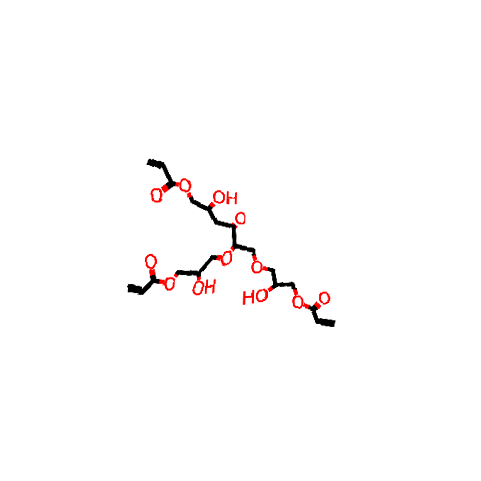 C=CC(=O)OCC(O)COCC(OCC(O)COC(=O)C=C)C(=O)CC(O)COC(=O)C=C